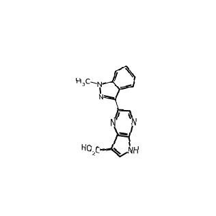 Cn1nc(-c2cnc3[nH]cc(C(=O)O)c3n2)c2ccccc21